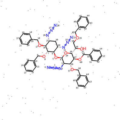 [N-]=[N+]=N[C@H]1[C@@H](O[C@H]2[C@H](OCc3ccccc3)[C@@H](OCc3ccccc3)[C@H](N=[N+]=[N-])C[C@@H]2N=[N+]=[N-])O[C@H](C(O)COCc2ccccc2)[C@@H](OCc2ccccc2)[C@@H]1OCc1ccccc1